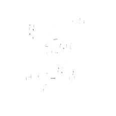 CC(=O)c1cc(C(=O)Nc2cc(CO)cc(-c3cnn(C)c3)c2F)c2cc(O)c(F)cn12